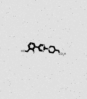 O=C(O)CC1CCN(c2ncc(-c3cccc(CO)c3F)cn2)CC1